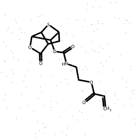 C=CC(=O)OCCNC(=O)OC1C2CC3C(=O)OC1C3S2